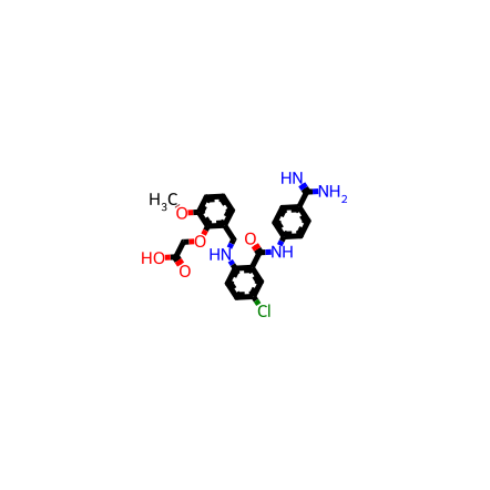 COc1cccc(CNc2ccc(Cl)cc2C(=O)Nc2ccc(C(=N)N)cc2)c1OCC(=O)O